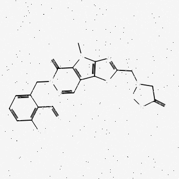 Cn1c2nc(CN3CC(=O)NS3)sc2c2cnn(Cc3cccc(N)c3C=N)c(=O)c21